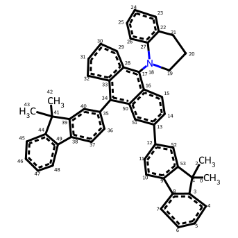 CC1(C)c2ccccc2-c2ccc(-c3ccc4c(N5CCCc6ccccc65)c5ccccc5c(-c5ccc6c(c5)C(C)(C)c5ccccc5-6)c4c3)cc21